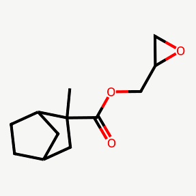 CC1(C(=O)OCC2CO2)CC2CCC1C2